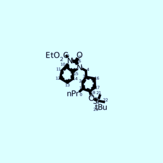 CCCc1cc(Cn2c(=O)n(C(=O)OCC)c3ccccc32)ccc1O[Si](C)(C)C(C)(C)C